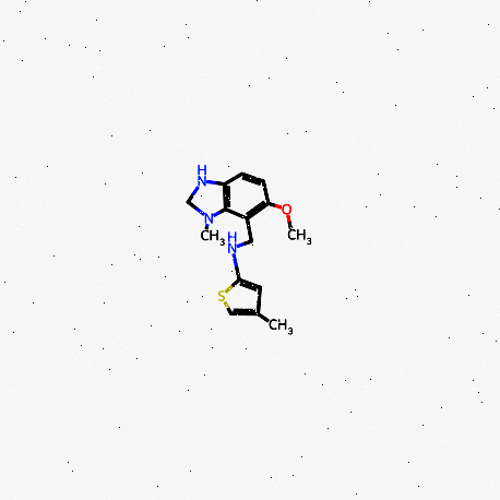 COc1ccc2c(c1CNc1cc(C)cs1)N(C)CN2